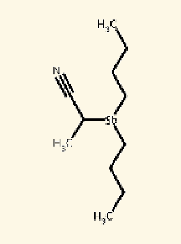 CCC[CH2][Sb]([CH2]CCC)[CH](C)C#N